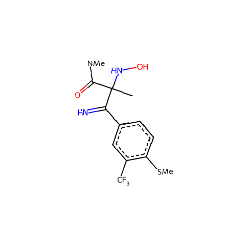 CNC(=O)C(C)(NO)C(=N)c1ccc(SC)c(C(F)(F)F)c1